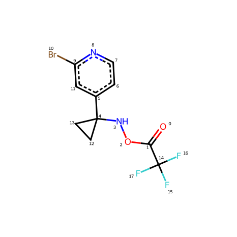 O=C(ONC1(c2ccnc(Br)c2)CC1)C(F)(F)F